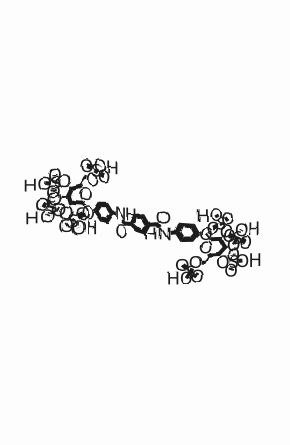 O=C(Nc1ccc(O[C@@H]2O[C@H](COS(=O)(=O)O)[C@@H](OS(=O)(=O)O)[C@H](OS(=O)(=O)O)[C@H]2OS(=O)(=O)O)cc1)c1ccc(C(=O)Nc2ccc(O[C@@H]3O[C@H](COS(=O)(=O)O)[C@@H](OS(=O)(=O)O)[C@H](OS(=O)(=O)O)[C@H]3OS(=O)(=O)O)cc2)cc1